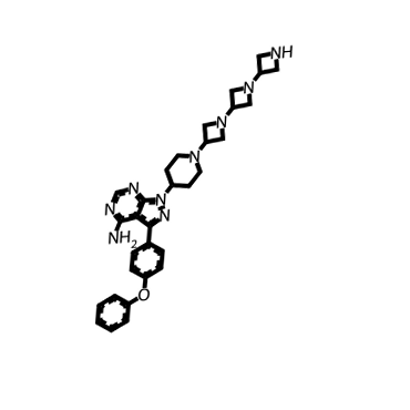 Nc1ncnc2c1c(-c1ccc(Oc3ccccc3)cc1)nn2C1CCN(C2CN(C3CN(C4CNC4)C3)C2)CC1